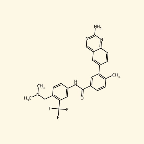 Cc1ccc(C(=O)Nc2ccc(CN(C)C)c(C(F)(F)F)c2)cc1-c1ccc2nc(N)ncc2c1